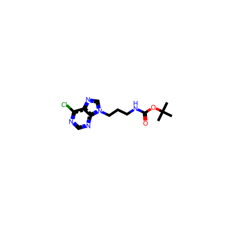 CC(C)(C)OC(=O)NCCCn1cnc2c(Cl)ncnc21